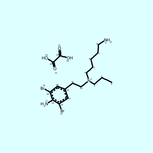 CCCN(CCCCCN)CCc1cc(Br)c(N)c(Br)c1.O=C(O)C(=O)O